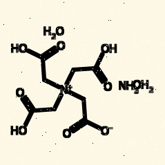 N.O.O.O=C([O-])C[N+](CC(=O)O)(CC(=O)O)CC(=O)O